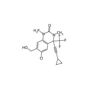 CN1C(=O)N(P)c2cc(CO)c(Cl)cc2C1(C#CC1CC1)C(F)(F)F